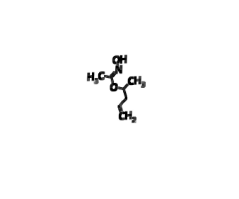 C=CCC(C)OC(C)=NO